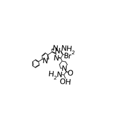 Nc1c(Br)c(C2CCN(C(=O)C(N)CO)CC2)nc2c(-c3ccc(-c4ccccc4)nc3)cnn12